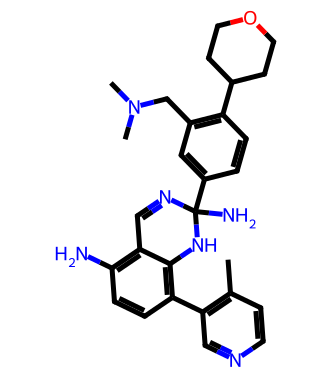 Cc1ccncc1-c1ccc(N)c2c1NC(N)(c1ccc(C3CCOCC3)c(CN(C)C)c1)N=C2